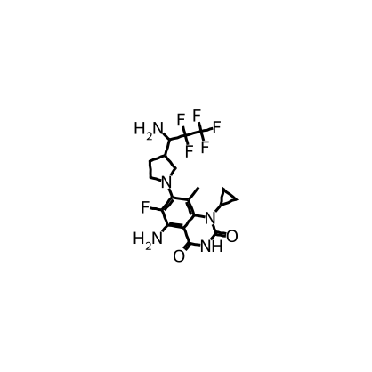 Cc1c(N2CCC(C(N)C(F)(F)C(F)(F)F)C2)c(F)c(N)c2c(=O)[nH]c(=O)n(C3CC3)c12